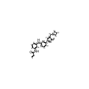 C=CC(=O)Nc1cccc(Nc2nccc(-n3cc(CN4CCC4)c(C)n3)n2)c1